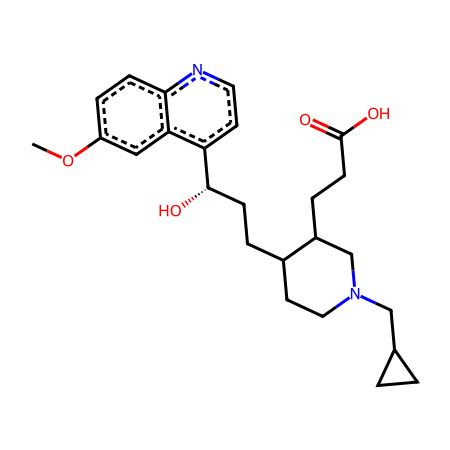 COc1ccc2nccc([C@@H](O)CCC3CCN(CC4CC4)CC3CCC(=O)O)c2c1